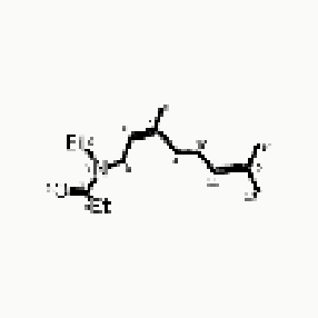 CCC(=O)N(CC)CC=C(C)CCC=C(C)C